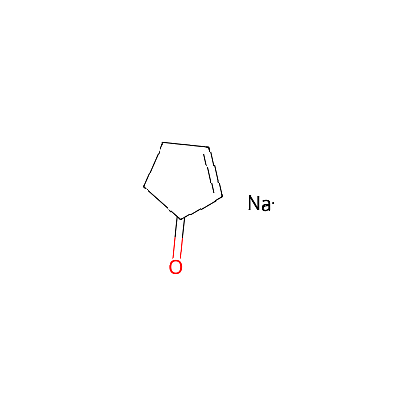 O=C1C=CCC1.[Na]